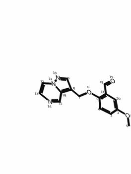 COc1ccc(OCc2cnn3ccncc23)c(C=O)c1